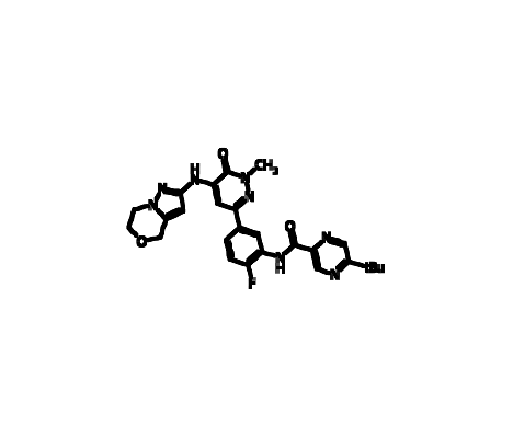 Cn1nc(-c2ccc(F)c(NC(=O)c3cnc(C(C)(C)C)cn3)c2)cc(Nc2cc3n(n2)CCOC3)c1=O